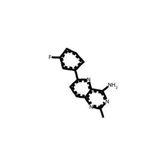 Cc1nc(N)c2nc(-c3cccc(F)c3)ccc2n1